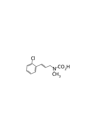 CN(CC=Cc1ccccc1Cl)C(=O)O